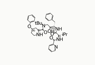 CC(C)[C@H](NC(=O)c1ccccn1)C(=O)N[C@@H](Cc1ccccc1)[C@H](O)CN(C(=O)[C@@H]1C[C@H](Oc2ccccc2)CCN1)C(C)(C)C